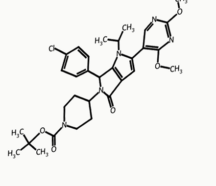 COc1ncc(-c2cc3c(n2C(C)C)C(c2ccc(Cl)cc2)N(C2CCN(C(=O)OC(C)(C)C)CC2)C3=O)c(OC)n1